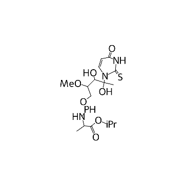 COC(COPNC(C)C(=O)OC(C)C)C(O)C(C)(O)n1ccc(=O)[nH]c1=S